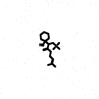 C=C(CCC=C(C)C)C(C[Si](C)(C)C)C1(O)CCCCC1